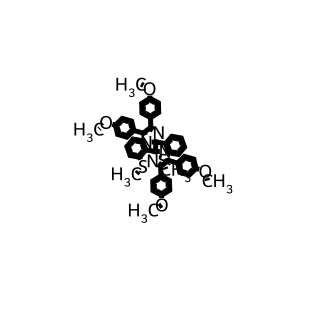 COc1ccc(C2=NC(c3ccccc3SC)(C3(c4ccccc4SC)N=C(c4ccc(OC)cc4)C(c4ccc(OC)cc4)=N3)N=C2c2ccc(OC)cc2)cc1